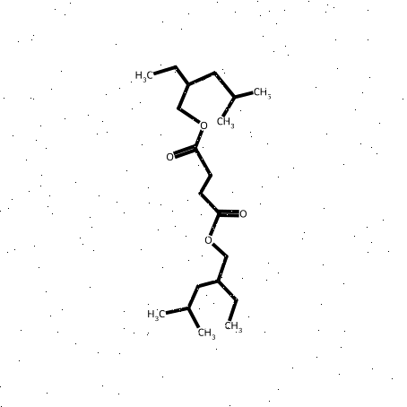 CCC(COC(=O)CCC(=O)OCC(CC)CC(C)C)CC(C)C